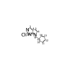 Clc1ncc2ccn(Cc3ccccc3)c2n1